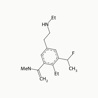 C=C(NC)c1cc(CCNCC)cc(C(C)F)c1CC